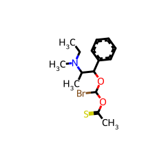 CCN(C)C(C)C(OC(Br)OC(C)=S)c1ccccc1